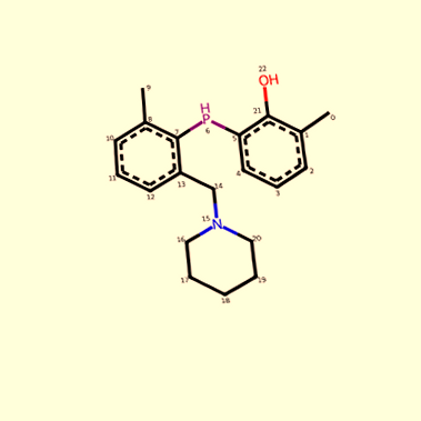 Cc1cccc(Pc2c(C)cccc2CN2CCCCC2)c1O